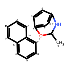 CC1Nc2ccc(cc2)O1.c1ccc2ccccc2c1